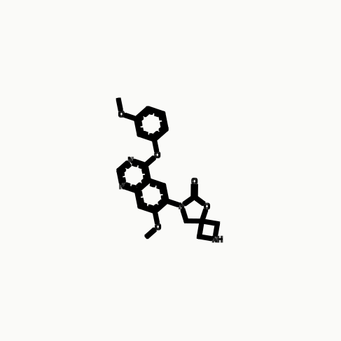 COc1cccc(Oc2ncnc3cc(OC)c(N4CC5(CNC5)OC4=O)cc23)c1